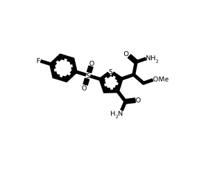 COCC(C(N)=O)c1sc(S(=O)(=O)c2ccc(F)cc2)cc1C(N)=O